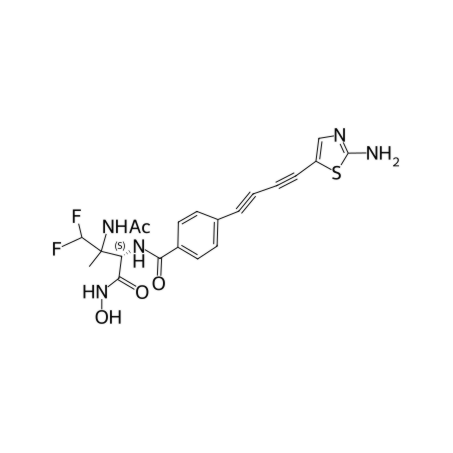 CC(=O)NC(C)(C(F)F)[C@H](NC(=O)c1ccc(C#CC#Cc2cnc(N)s2)cc1)C(=O)NO